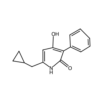 O=c1[nH]c(CC2CC2)cc(O)c1-c1ccccc1